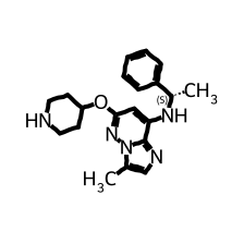 Cc1cnc2c(N[C@@H](C)c3ccccc3)cc(OC3CCNCC3)nn12